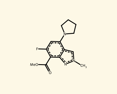 COC(=O)c1c(F)cc(N2CCCC2)c2cn(C)nc12